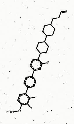 C=CCCC1CCC(C2CCC(c3ccc(-c4ccc(-c5ccc(OCCCCCCCC)c(F)c5F)cc4)cc3F)CC2)CC1